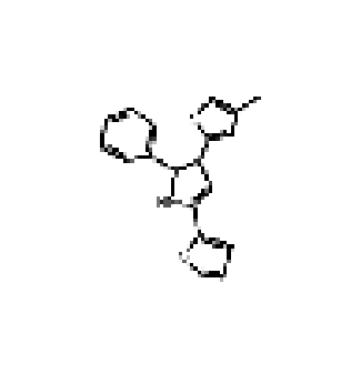 Cc1csc(C2C=C(c3ccco3)NN2c2ccccc2)c1